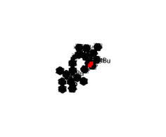 CC(C)(C)c1ccc(-c2ccc3c(c2)-c2cc4c(oc5ccc(C(C)(C)Cc6ccc(-c7ccc(N8B9c%10ccc(-c%11ccccc%11)cc%10N(c%10cccc(-c%11ccccc%11)c%10)c%10cc%11c(oc%12ccccc%12%11)c(c%109)-c9cc(-c%10ccccc%10)ccc98)cc7)cc6)cc54)c4c2B(c2ccc(-c5ccccc5)cc2N4c2cccc(-c4ccccc4)c2)N3c2ccc(C(C)(C)C)cc2-c2ccccc2)cc1